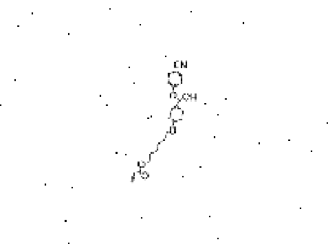 C=CC(=O)OCCCCCCOc1ccc(C(O)Oc2ccc(C#N)cc2)cc1